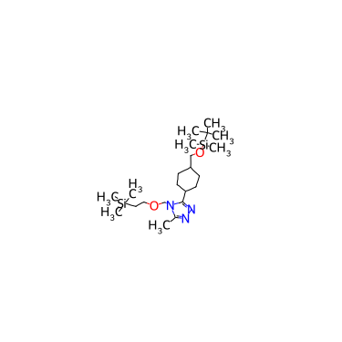 Cc1nnc(C2CCC(CO[Si](C)(C)C(C)(C)C)CC2)n1COCC[Si](C)(C)C